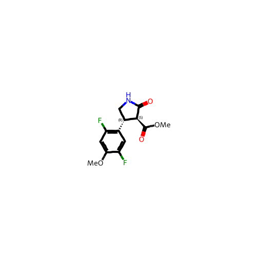 COC(=O)[C@@H]1C(=O)NC[C@H]1c1cc(F)c(OC)cc1F